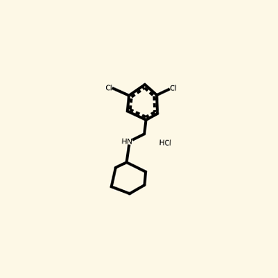 Cl.Clc1cc(Cl)cc(CNC2CCCCC2)c1